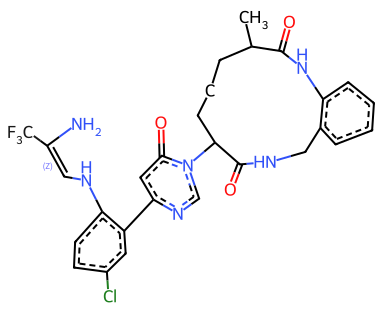 CC1CCCC(n2cnc(-c3cc(Cl)ccc3N/C=C(\N)C(F)(F)F)cc2=O)C(=O)NCc2ccccc2NC1=O